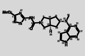 COc1nsc(NC(=O)N2CC3C[C@H](N(C)c4ncnc5[nH]ccc45)C[C@H]3C2)n1